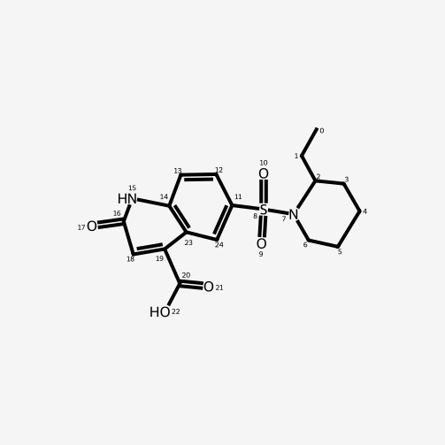 CCC1CCCCN1S(=O)(=O)c1ccc2[nH]c(=O)cc(C(=O)O)c2c1